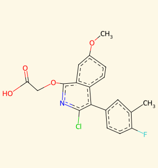 COc1ccc2c(-c3ccc(F)c(C)c3)c(Cl)nc(OCC(=O)O)c2c1